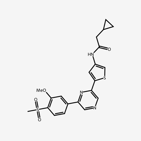 COc1cc(-c2cncc(-c3cc(NC(=O)CC4CC4)cs3)n2)ccc1S(C)(=O)=O